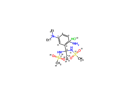 CCN(CC)c1ccc(N)c(C(C)(NS(C)(=O)=O)NS(C)(=O)=O)c1.Cl